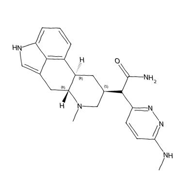 CNc1ccc(C(C(N)=O)[C@@H]2C[C@@H]3c4cccc5[nH]cc(c45)C[C@H]3N(C)C2)nn1